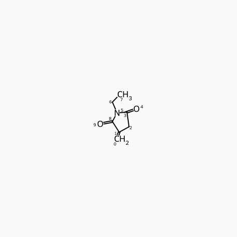 C=C1CC(=O)N(CC)C1=O